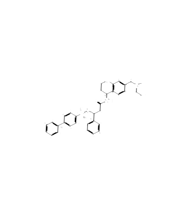 CC(C)CN(C)Cc1ccc2c(c1)OCCC2NC(=O)CC(NS(=O)(=O)c1ccc(-c2ccccc2)cc1)c1ccccc1